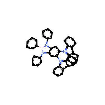 c1ccc(B2N(c3ccccc3)c3cc(-n4c5ccccc5c5ccccc54)c(-n4c5ccccc5c5ccccc54)cc3N2c2ccccc2)cc1